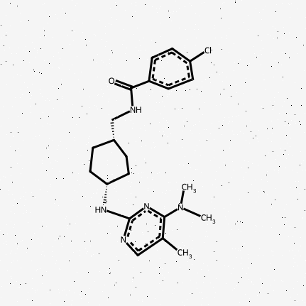 Cc1cnc(N[C@H]2CC[C@@H](CNC(=O)c3ccc(Cl)cc3)CC2)nc1N(C)C